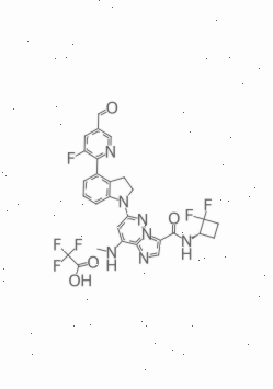 CNc1cc(N2CCc3c(-c4ncc(C=O)cc4F)cccc32)nn2c(C(=O)N[C@@H]3CCC3(F)F)cnc12.O=C(O)C(F)(F)F